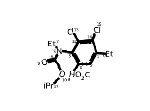 CCc1cc(C(=O)O)c(N(CC)C(=O)OC(C)C)c(Cl)c1Cl